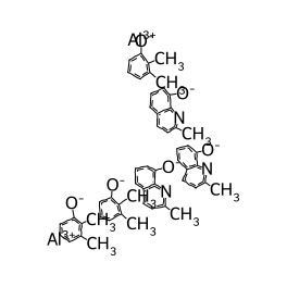 Cc1ccc2cccc([O-])c2n1.Cc1ccc2cccc([O-])c2n1.Cc1ccc2cccc([O-])c2n1.Cc1cccc([O-])c1C.Cc1cccc([O-])c1C.Cc1cccc([O-])c1C.[Al+3].[Al+3]